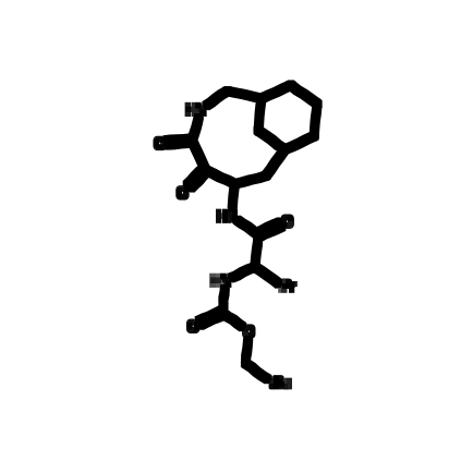 CC(C)C(NC(=O)OCC(C)(C)C)C(=O)NC1CC2CCCC(CNC(=O)C1=O)C2